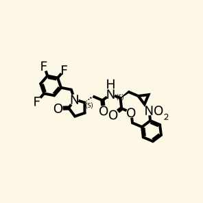 O=C(C[C@@H]1CCC(=O)N1Cc1cc(F)cc(F)c1F)N[C@@H](CC1CC1)C(=O)OCc1ccccc1[N+](=O)[O-]